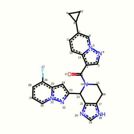 O=C(c1cnn2cc(C3CC3)ccc12)N1CCc2[nH]cnc2C1c1cc2c(F)cccn2n1